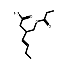 CCC=CC(COC(=O)CC)CC(=O)O